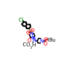 CC(C)(C)OC(=O)N1CCC(N(CC(=O)O)N2CCN(S(=O)(=O)c3ccc4cc(Cl)ccc4c3)CC2=O)CC1